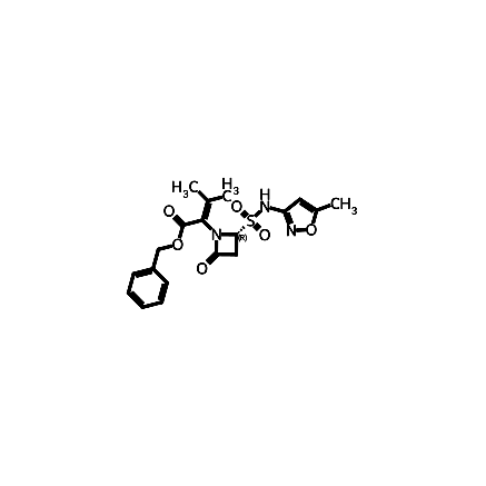 CC(C)=C(C(=O)OCc1ccccc1)N1C(=O)C[C@H]1S(=O)(=O)Nc1cc(C)on1